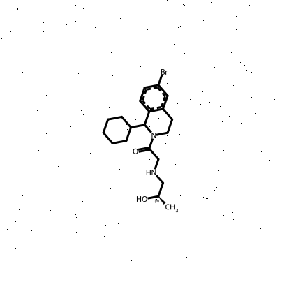 C[C@@H](O)CNCC(=O)N1CCc2cc(Br)ccc2C1C1CCCCC1